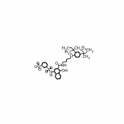 CCC(C)(C)c1ccc(OCCCCNC(=O)c2cc(NS(=O)(=O)c3cccc(S(=O)(=O)Cl)c3)c3ccccc3c2O)c(C(C)(C)CC)c1